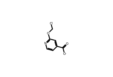 [O]C(=O)c1ccnc(OCCl)c1